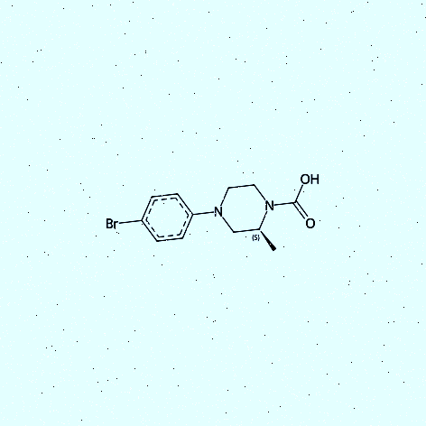 C[C@H]1CN(c2ccc(Br)cc2)CCN1C(=O)O